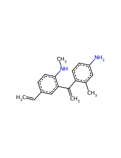 C=Cc1ccc(NC)c(C(=C)c2ccc(N)cc2C)c1